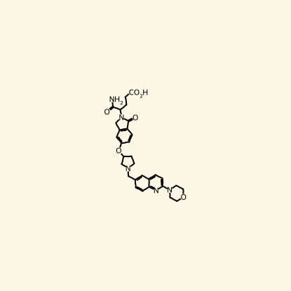 NC(=O)C(CCC(=O)O)N1Cc2cc(OC3CCN(Cc4ccc5nc(N6CCOCC6)ccc5c4)C3)ccc2C1=O